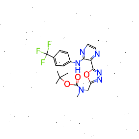 CN(Cc1nnc(-c2nccnc2Nc2ccc(C(F)(F)F)cc2)o1)C(=O)OC(C)(C)C